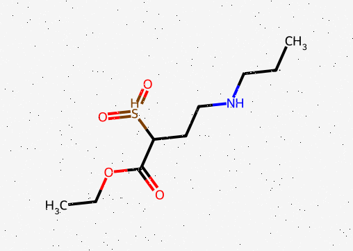 C[CH]CNCCC(C(=O)OCC)[SH](=O)=O